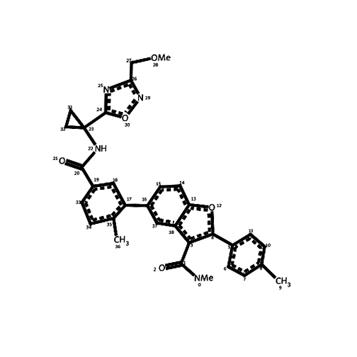 CNC(=O)c1c(-c2ccc(C)cc2)oc2ccc(-c3cc(C(=O)NC4(c5nc(COC)no5)CC4)ccc3C)cc12